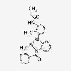 CCC(=O)Nc1cccc([C@@H]2C[C@@H](C)N(C(=O)c3ccccc3)c3ccccc32)c1C